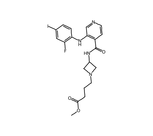 COC(=O)CCCN1CC(NC(=O)c2ccncc2Nc2ccc(I)cc2F)C1